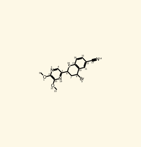 COc1ncc(C2CC(Br)c3cc(C#N)ccc3S2)nc1OC